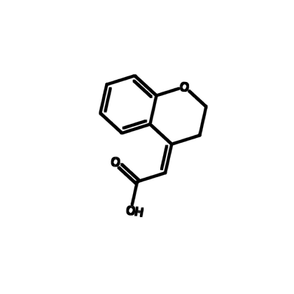 O=C(O)/C=C1/CCOc2ccccc21